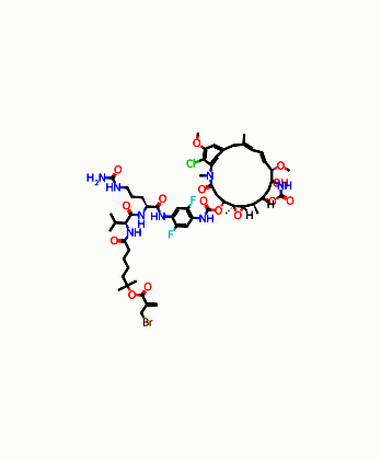 C=C(CBr)C(=O)OC(C)(C)CCCCC(=O)N[C@H](C(=O)N[C@@H](CCCNC(N)=O)C(=O)Nc1cc(F)c(NC(=O)O[C@H]2CC(=O)N(C)c3cc(cc(OC)c3Cl)C/C(C)=C/C=C/[C@@H](OC)[C@@]3(O)C[C@H](OC(=O)N3)[C@@H](C)[C@@H]3O[C@@]23C)cc1F)C(C)C